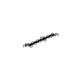 CCCNC(=O)CCOCCOCCOCCOCCOCCC(=O)NCCCOCCOCCOCCC